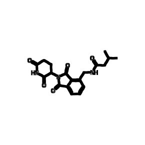 CC(C)CC(=O)NCc1cccc2c1C(=O)N(C1CCC(=O)NC1=O)C2=O